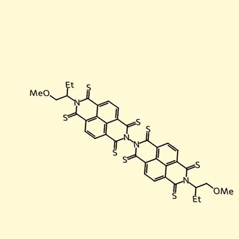 CCC(COC)N1C(=S)c2ccc3c4c(ccc(c24)C1=S)C(=S)N(N1C(=S)c2ccc4c5c(ccc(c25)C1=S)C(=S)N(C(CC)COC)C4=S)C3=S